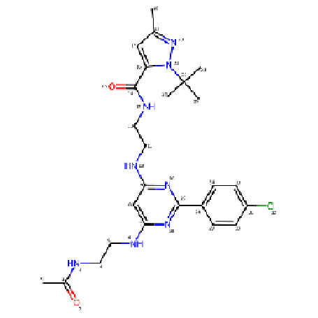 CC(=O)NCCNc1cc(NCCNC(=O)c2cc(C)nn2C(C)(C)C)nc(-c2ccc(Cl)cc2)n1